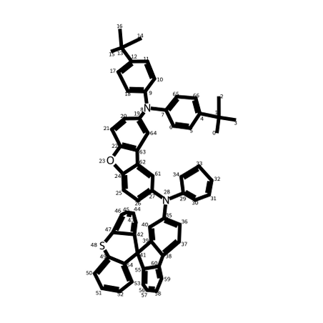 CC(C)(C)c1ccc(N(c2ccc(C(C)(C)C)cc2)c2ccc3oc4ccc(N(c5ccccc5)c5ccc6c(c5)C5(c7ccccc7Sc7ccccc75)c5ccccc5-6)cc4c3c2)cc1